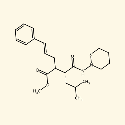 COC(=O)C(C/C=C/c1ccccc1)[C@@H](CC(C)C)C(=O)NN1CCCCS1